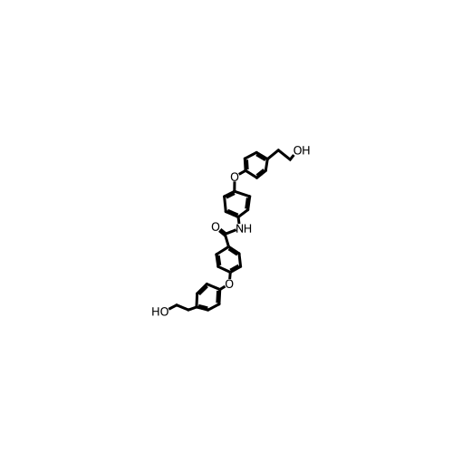 O=C(Nc1ccc(Oc2ccc(CCO)cc2)cc1)c1ccc(Oc2ccc(CCO)cc2)cc1